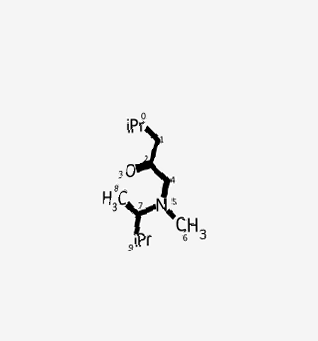 CC(C)CC(=O)CN(C)C(C)C(C)C